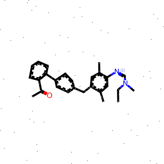 CCN(C)/C=N\c1cc(C)c(Cc2ccc(-c3ccccc3C(C)=O)cc2)cc1C